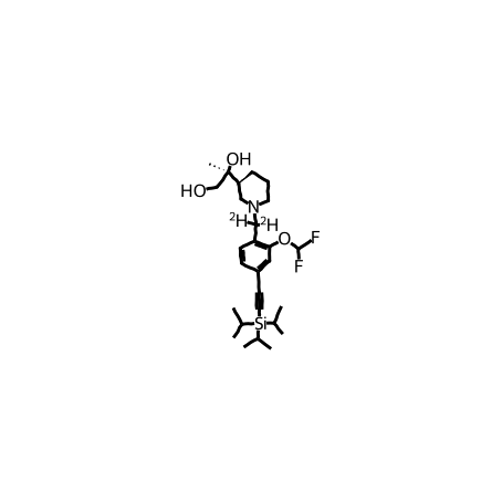 [2H]C([2H])(c1ccc(C#C[Si](C(C)C)(C(C)C)C(C)C)cc1OC(F)F)N1CCC[C@H]([C@](C)(O)CO)C1